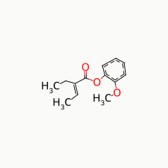 CC=C(CC)C(=O)Oc1ccccc1OC